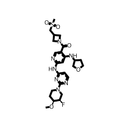 CO[C@H]1CCN(c2nccc(Nc3cc(NC4CCOC4)c(C(=O)N4CC(CS(C)(=O)=O)C4)cn3)n2)C[C@H]1F